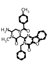 Cc1ccc(C(=O)N2CC(N)N(C)C(=O)C2c2nc3c(oc4ccccc43)c(=O)n2Cc2ccccc2)cc1